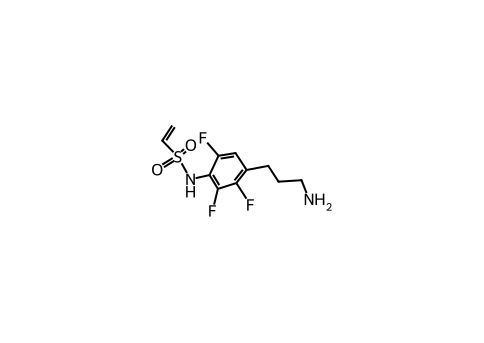 C=CS(=O)(=O)Nc1c(F)cc(CCCN)c(F)c1F